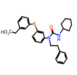 O=C(O)Cc1cccc(Sc2cccc(N(CCc3ccccc3)C(=O)NC3CCCCC3)c2)c1